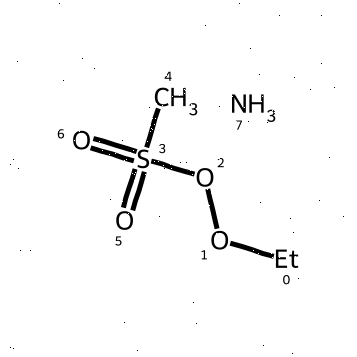 CCOOS(C)(=O)=O.N